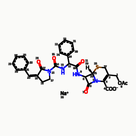 CC(=O)OCC1=C(C(=O)[O-])N2C(=O)C(NC(=O)C(NC(=O)N3CCC(=Cc4ccccc4)C3=O)c3ccccc3)[C@@H]2SC1.[Na+]